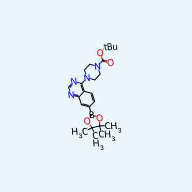 CC(C)(C)OC(=O)N1CCN(c2ncnc3cc(B4OC(C)(C)C(C)(C)O4)ccc23)CC1